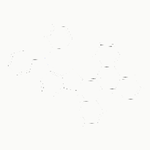 c1ccc(-n2c3ccccc3c3ccc4c(sc5c4c4ccccc4c4c6ccccc6c6ccccc6c54)c32)cc1